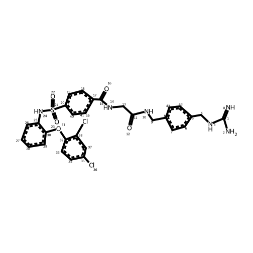 N=C(N)NCc1ccc(CNC(=O)CNC(=O)c2ccc(S(=O)(=O)Nc3ccccc3Oc3ccc(Cl)cc3Cl)cc2)cc1